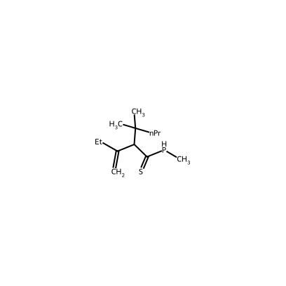 C=C(CC)C(C(=S)PC)C(C)(C)CCC